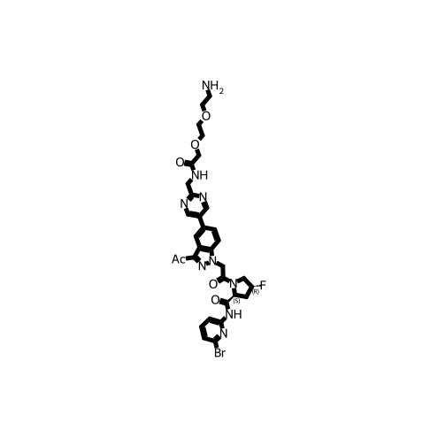 CC(=O)c1nn(CC(=O)N2C[C@H](F)C[C@H]2C(=O)Nc2cccc(Br)n2)c2ccc(-c3cnc(CNC(=O)COCCOCCN)nc3)cc12